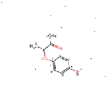 CC(=O)OC(=O)C(C)Oc1ccc(Br)cc1